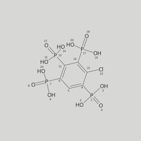 O=P(O)(O)c1cc(P(=O)(O)O)c(P(=O)(O)O)c(P(=O)(O)O)c1Cl